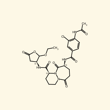 CCOC1OC(=O)C[C@@H]1NC(=O)[C@@H]1CCCN2C(=O)CC[C@H](NC(=O)c3ccc(NC(C)=O)c(Cl)c3)C(=O)N12